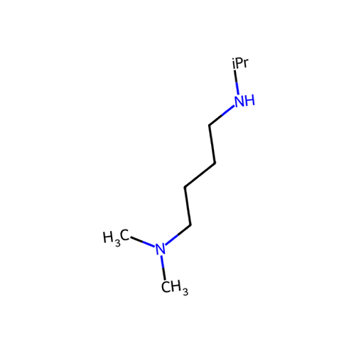 CC(C)NCCCCN(C)C